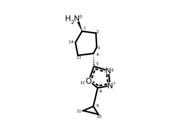 N[C@H]1CC[C@H](c2nnc(C3CC3)o2)CC1